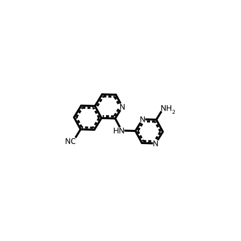 N#Cc1ccc2ccnc(Nc3cncc(N)n3)c2c1